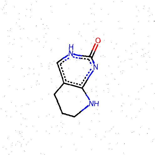 O=c1nc2c(c[nH]1)CCCN2